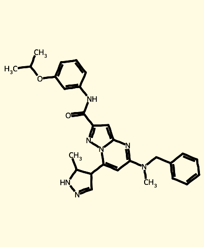 CC(C)Oc1cccc(NC(=O)c2cc3nc(N(C)Cc4ccccc4)cc(C4C=NNC4C)n3n2)c1